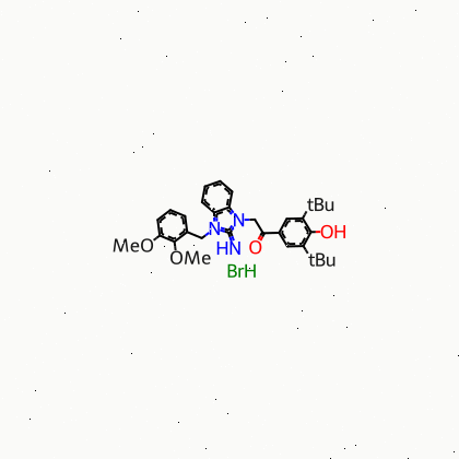 Br.COc1cccc(Cn2c(=N)n(CC(=O)c3cc(C(C)(C)C)c(O)c(C(C)(C)C)c3)c3ccccc32)c1OC